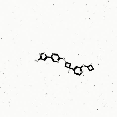 Oc1cc(-c2cnc(O[C@H]3C[C@](F)(c4ccnc(OC5CCC5)c4)C3)cn2)on1